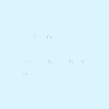 CCOC(=O)c1cn(C2CCN(C)CC2)c2cc(NC3CCCCC3)c(F)cc2c1=O